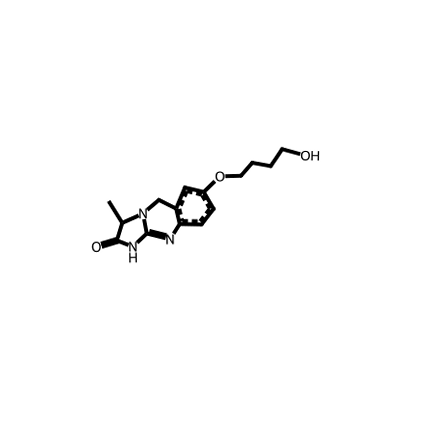 CC1C(=O)NC2=Nc3ccc(OCCCCO)cc3CN21